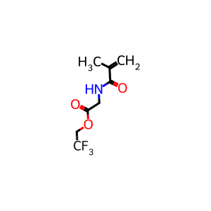 C=C(C)C(=O)NCC(=O)OCC(F)(F)F